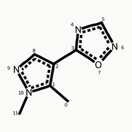 Cc1c(-c2ncno2)cnn1C